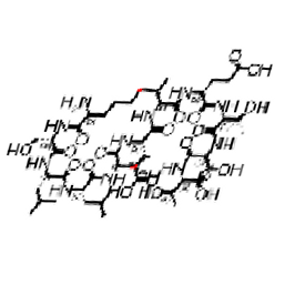 CCCC[C@H](N)C(=O)N[C@@H](CO)C(=O)N[C@@H](CC(C)C)C(=O)N[C@@H](CC(C)C)C(=O)N[C@H](C(=O)N[C@@H](CCC(=O)O)C(=O)N[C@H](C(=O)N[C@@H](CCC(=O)O)C(=O)N[C@H](C(=O)N[C@H](C(=O)N[C@H](C(=O)O)[C@@H](C)O)[C@@H](C)O)[C@@H](C)O)C(C)C)[C@@H](C)O